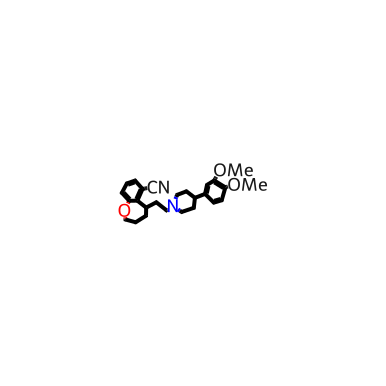 COc1ccc(C2CCN(CCC3CCCOc4cccc(C#N)c43)CC2)cc1OC